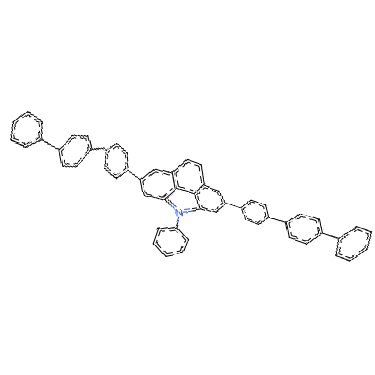 c1ccc(-c2ccc(-c3ccc(-c4cc5ccc6cc(-c7ccc(-c8ccc(-c9ccccc9)cc8)cc7)cc7c6c5c(c4)n7-c4ccccc4)cc3)cc2)cc1